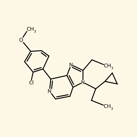 CCc1nc2c(-c3ccc(OC)cc3Cl)nccc2n1C(CC)C1CC1